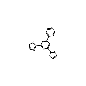 c1cc(-c2cc(-c3nccs3)nc(-c3nccs3)c2)ccn1